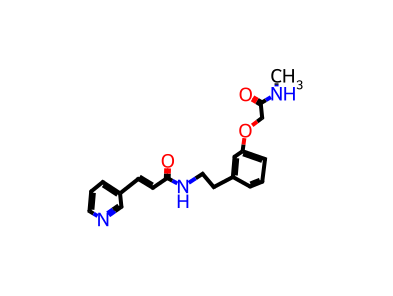 CNC(=O)COc1cccc(CCNC(=O)C=Cc2cccnc2)c1